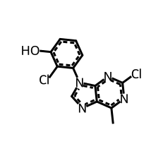 Cc1nc(Cl)nc2c1ncn2-c1cccc(O)c1Cl